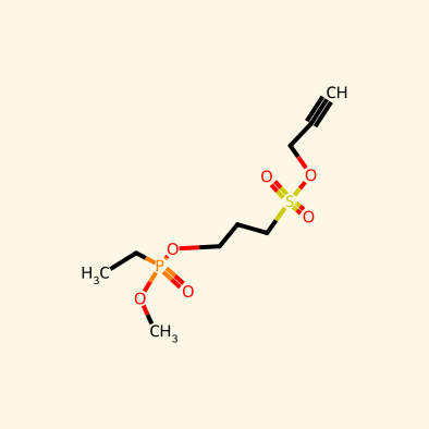 C#CCOS(=O)(=O)CCCOP(=O)(CC)OC